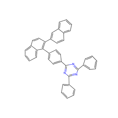 c1ccc(-c2nc(-c3ccccc3)nc(-c3ccc(-c4c(-c5ccc6ccccc6c5)ccc5ccccc45)cc3)n2)cc1